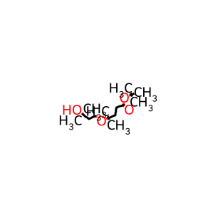 CC(C)(O)CCOC(C)(C)CCC(=O)OC(C)(C)C